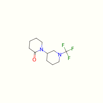 O=C1CCCCN1C1CCCN(C(F)(F)F)C1